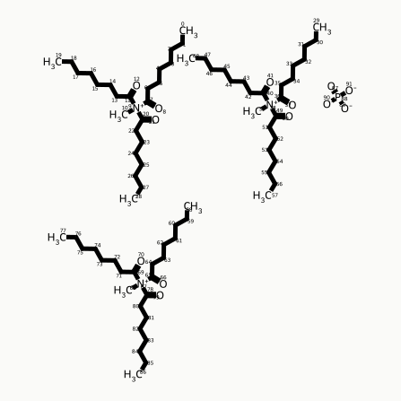 CCCCCCCC(=O)[N+](C)(C(=O)CCCCCCC)C(=O)CCCCCCC.CCCCCCCC(=O)[N+](C)(C(=O)CCCCCCC)C(=O)CCCCCCC.CCCCCCCC(=O)[N+](C)(C(=O)CCCCCCC)C(=O)CCCCCCC.O=P([O-])([O-])[O-]